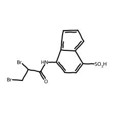 O=C(Nc1ccc(S(=O)(=O)O)c2ccccc12)C(Br)CBr